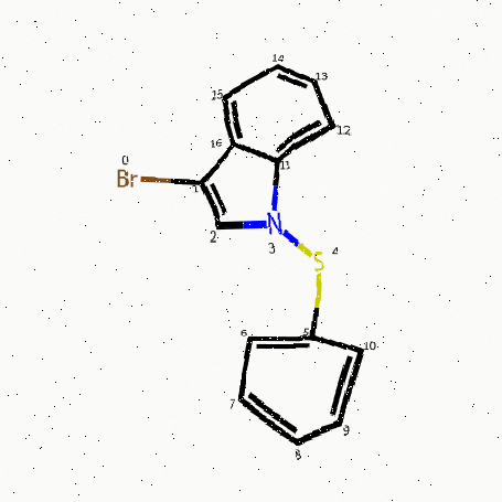 Brc1cn(Sc2ccccc2)c2ccccc12